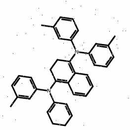 Cc1cccc(N(C2=CCCC=C2)C2=c3ccccc3=C(N(c3cccc(C)c3)c3cccc(C)c3)CC2)c1